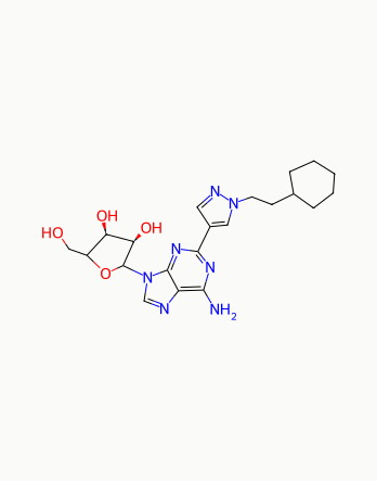 Nc1nc(-c2cnn(CCC3CCCCC3)c2)nc2c1ncn2C1OC(CO)[C@@H](O)[C@H]1O